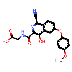 COc1ccc(Oc2ccc3c(C#N)nc(C(=O)NCC(=O)O)c(O)c3c2)cc1